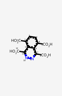 O=C(O)c1ccc(C(=O)O)c2c(C(=O)O)nnc(C(=O)O)c12